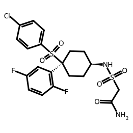 NC(=O)CS(=O)(=O)N[C@H]1CC[C@@](c2cc(F)ccc2F)(S(=O)(=O)c2ccc(Cl)cc2)CC1